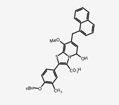 CCCCOc1ccc(C2=C(C(=O)O)N3C(=C(OC)C(Cc4cccc5ccccc45)=CC3O)S2)cc1C